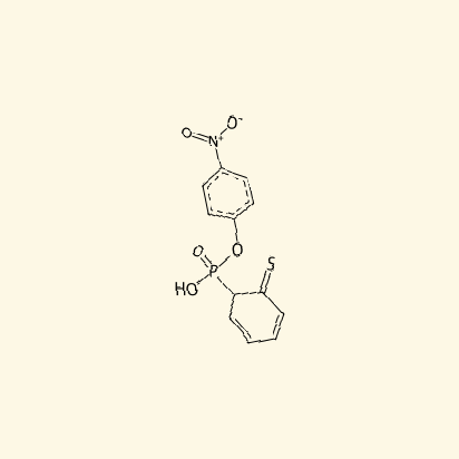 O=[N+]([O-])c1ccc(OP(=O)(O)C2C=CC=CC2=S)cc1